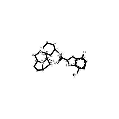 Cc1ccc(F)c2c1NC(C(=O)NC1CCC[C@@]3(C1)OCC1CCC4C[C@H]3N14)C2